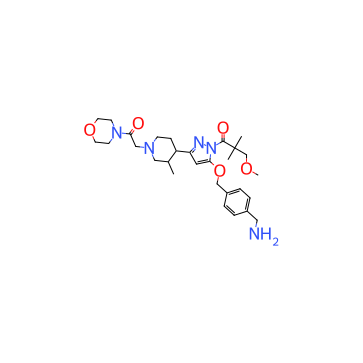 COCC(C)(C)C(=O)n1nc(C2CCN(CC(=O)N3CCOCC3)CC2C)cc1OCc1ccc(CN)cc1